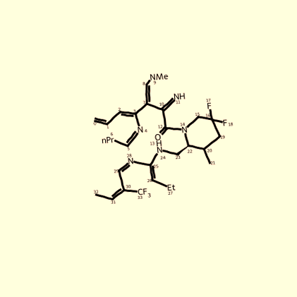 C=C/C=C(\N=C/CCC)C(=C/NC)/C(=N)C(=O)N1CC(F)(F)CC(C)[C@H]1CNC(=C\CC)/N=C\C(=C/C)C(F)(F)F